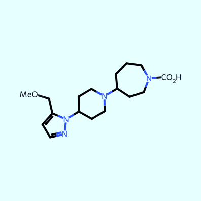 COCc1ccnn1C1CCN(C2CCCN(C(=O)O)CC2)CC1